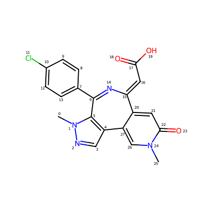 Cn1ncc2c1C(c1ccc(Cl)cc1)=NC(=CC(=O)O)c1cc(=O)n(C)cc1-2